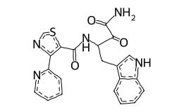 NC(=O)C(=O)C(Cc1c[nH]c2ccccc12)NC(=O)c1scnc1-c1ccccn1